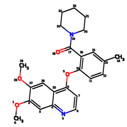 COc1cc2nccc(Oc3ccc(C)cc3C(=O)N3CCCCC3)c2cc1OC